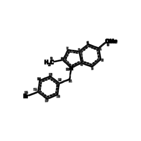 COc1ccc2c(c1)cc(C)n2Cc1ccc(Br)cc1